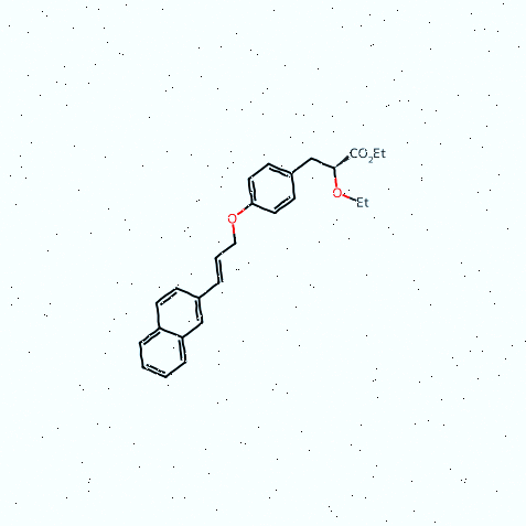 CCOC(=O)[C@H](Cc1ccc(OC/C=C/c2ccc3ccccc3c2)cc1)OCC